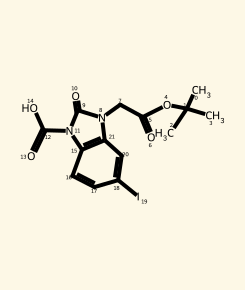 CC(C)(C)OC(=O)Cn1c(=O)n(C(=O)O)c2ccc(I)cc21